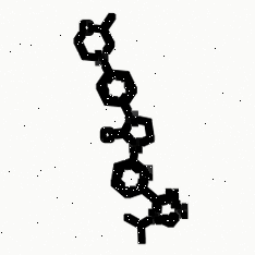 CC1CN(c2ccc(N3CCN(c4cccc(-c5nncn5C(C)C)n4)C3=O)cc2)CCO1